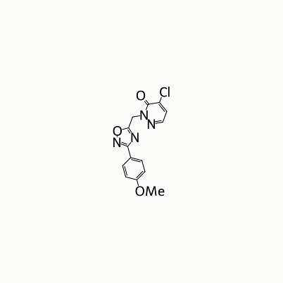 COc1ccc(-c2noc(Cn3nccc(Cl)c3=O)n2)cc1